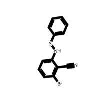 N#Cc1c(Br)cccc1NSc1ccccc1